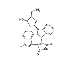 Cn1cc(C2=C(c3cn([C@H]4C[C@@H](O)[C@@H](CN)O4)c4ccccc34)C(=O)NC2=O)c2ccccc21